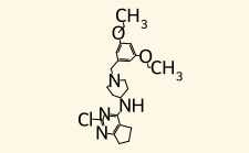 CCOc1cc(CN2CCC(Nc3nc(Cl)nc4c3CCC4)CC2)cc(OCC)c1